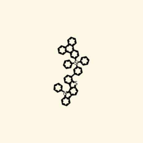 c1ccc(-n2c3ccccc3c3ccc4sc5c(-c6cccc([Si](c7ccccc7)(c7ccccc7)c7ccc8c9ccccc9c9ccccc9c8c7)c6)cccc5c4c32)cc1